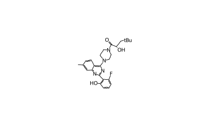 Cc1ccc2c(N3CCN(C(=O)[C@@H](O)CC(C)(C)C)CC3)nc(-c3c(O)cccc3F)nc2c1